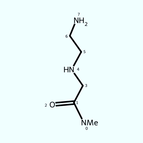 CNC(=O)CNCCN